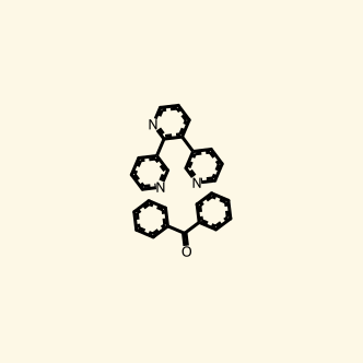 O=C(c1ccccc1)c1ccccc1.c1cncc(-c2cccnc2-c2cccnc2)c1